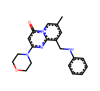 Cc1cc(CNc2ccccc2)c2nc(N3CCOCC3)cc(=O)n2c1